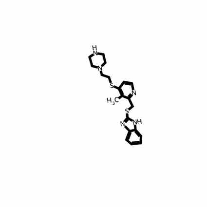 Cc1c(SCCN2CCNCC2)ccnc1CSc1nc2ccccc2[nH]1